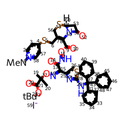 CN[n+]1ccc(SCC2=C(C(=O)ONC(=O)/C(=N\OC(C)(C)C(=O)OC(C)(C)C)c3csc(NC(c4ccccc4)(c4ccccc4)c4ccccc4)n3)N3C(=O)C[C@@H]3SC2)cc1.[I-]